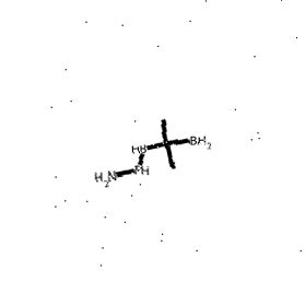 BC(C)(C)BPN